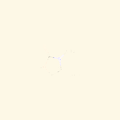 O=CN1C(=O)OC[C@H]1C(=O)O